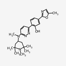 Cc1cnc(-c2ccc(-c3ccc(N(C)C4CC(C)(C)N(C)C(C)(C)C4)nn3)c(O)c2)o1